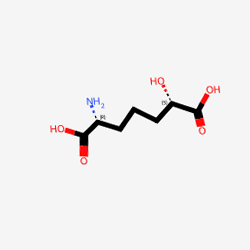 N[C@H](CCC[C@H](O)C(=O)O)C(=O)O